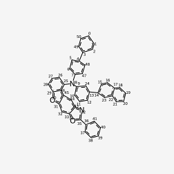 c1ccc(-c2ccc(N(c3cccc(-c4ccc5ccccc5c4)c3)c3cccc4oc5cc6oc(-c7ccccc7)nc6cc5c34)cc2)cc1